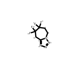 FC1(F)CCn2nnnc2CC1(F)F